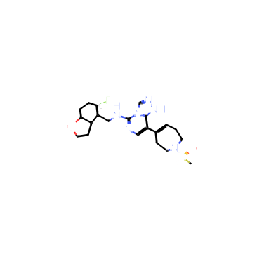 CS(=O)(=O)N1CCC=C(C2=CN=C(NCC3C4CCOC4CC[C@H]3F)N3C=NNC23)CC1